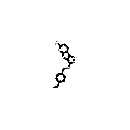 Cc1ccc2c(n1)sc1c(NCc3ccc(CI)cc3)n[nH]c12